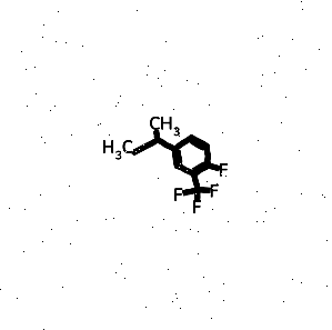 CCC(C)c1ccc(F)c(C(F)(F)F)c1